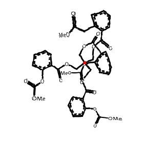 COC(=O)Cc1ccccc1C(=O)OCC(COC(=O)c1ccccc1OC(=O)OC)(COC(=O)c1ccccc1OC(=O)OC)COC(=O)c1ccccc1OC(=O)OC